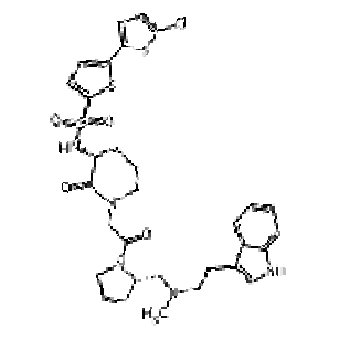 CN(CCc1c[nH]c2ccccc12)C[C@@H]1CCCN1C(=O)CN1CCC[C@H](NS(=O)(=O)c2ccc(-c3ccc(Cl)s3)s2)C1=O